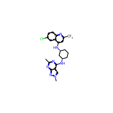 Cc1nc(N[C@@H]2CCC[C@H](Nc3cc(C(F)(F)F)nc4ccc(Cl)cc34)C2)c2cn(C)nc2n1